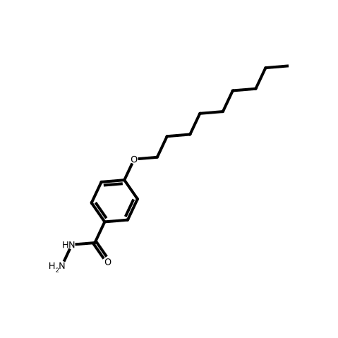 CCCCCCCCCOc1ccc(C(=O)NN)cc1